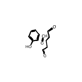 C=O.O=CCCCC=O.Oc1ccccc1